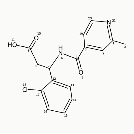 Cc1cc(C(=O)NC(CC(=O)O)c2ccccc2Cl)ccn1